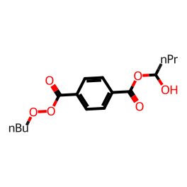 CCCCOOC(=O)c1ccc(C(=O)OC(O)CCC)cc1